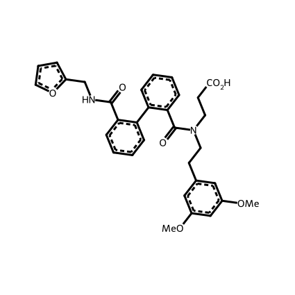 COc1cc(CCN(CCC(=O)O)C(=O)c2ccccc2-c2ccccc2C(=O)NCc2ccco2)cc(OC)c1